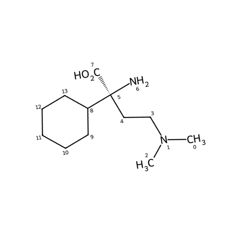 CN(C)CC[C@@](N)(C(=O)O)C1CCCCC1